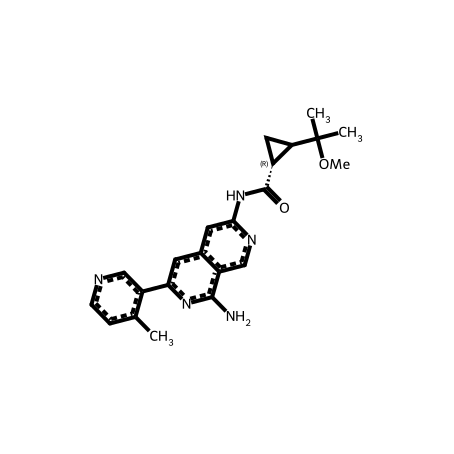 COC(C)(C)C1C[C@H]1C(=O)Nc1cc2cc(-c3cnccc3C)nc(N)c2cn1